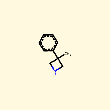 CC1(c2ccccc2)CNC1